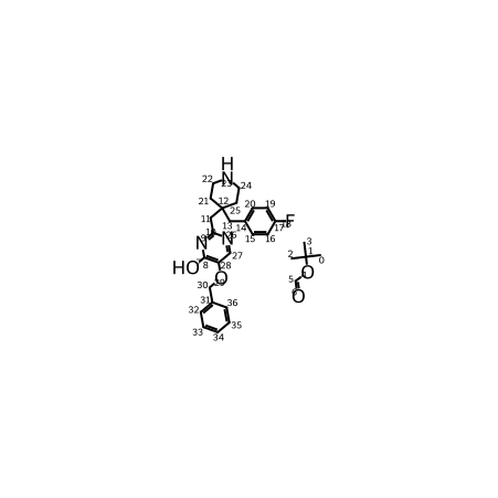 CC(C)(C)OC=O.Oc1nc(CC2(Cc3ccc(F)cc3)CCNCC2)ncc1OCc1ccccc1